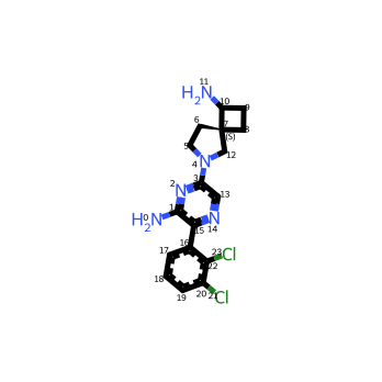 Nc1nc(N2CC[C@@]3(CCC3N)C2)cnc1-c1cccc(Cl)c1Cl